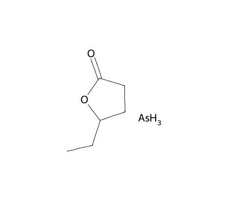 CCC1CCC(=O)O1.[AsH3]